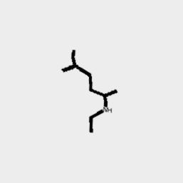 CCNC(C)CCC(C)C